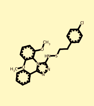 COc1cccc(OC)c1-n1c(NSCCc2ccc(Cl)cc2)nnc1-c1ccccc1